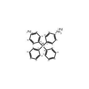 P.[Pd].[Pd].c1ccc([PH](c2ccccc2)(c2ccccc2)c2ccccc2)cc1